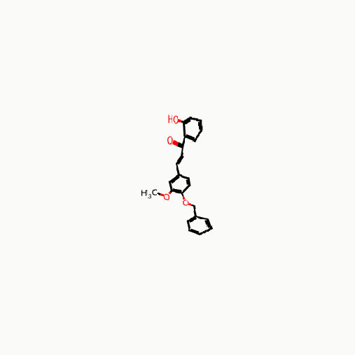 COc1cc(/C=C/C(=O)c2ccccc2O)ccc1OCc1ccccc1